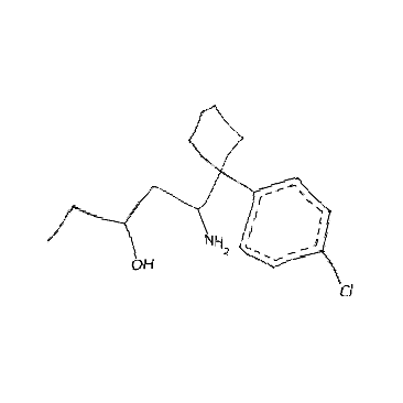 CCC(O)CC(N)C1(c2ccc(Cl)cc2)CCC1